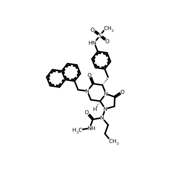 CCCN(C(=O)NC)N1CC(=O)N2[C@@H](Cc3ccc(NS(C)(=O)=O)cc3)C(=O)N(Cc3cccc4ccccc34)C[C@@H]21